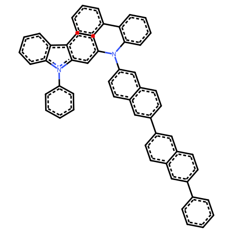 c1ccc(-c2ccc3cc(-c4ccc5cc(N(c6ccc7c8ccccc8n(-c8ccccc8)c7c6)c6ccccc6-c6ccccc6)ccc5c4)ccc3c2)cc1